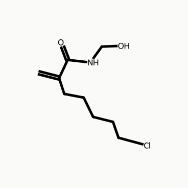 C=C(CCCCCCl)C(=O)NCO